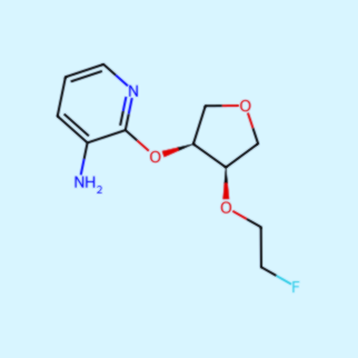 Nc1cccnc1O[C@H]1COC[C@H]1OCCF